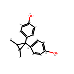 CC1C(C)C1(c1ccc(O)cc1)c1ccc(O)cc1